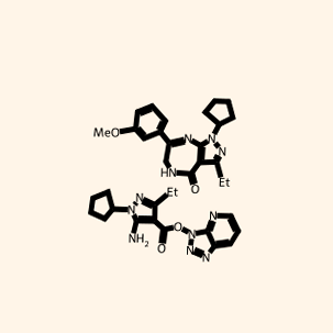 CCc1nn(C2CCCC2)c(N)c1C(=O)On1nnc2cccnc21.CCc1nn(C2CCCC2)c2c1C(=O)NCC(c1cccc(OC)c1)=N2